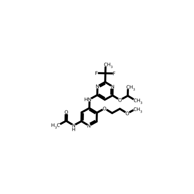 COCCOc1cnc(NC(C)=O)cc1Nc1cc(OC(C)C)nc(C(C)(F)F)n1